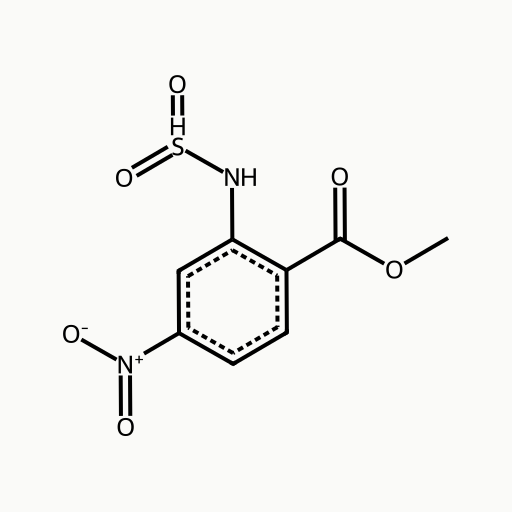 COC(=O)c1ccc([N+](=O)[O-])cc1N[SH](=O)=O